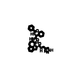 O=C(N[C@H](C(=O)N[C@H]1CCc2cccc3c2N(C1=O)[C@H](C(=O)NCc1c[nH]nn1)C3)C1CCCCC1)c1ccccc1